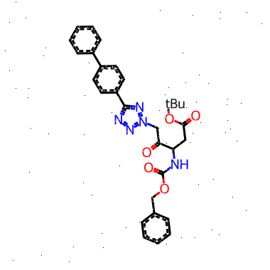 CC(C)(C)OC(=O)CC(NC(=O)OCc1ccccc1)C(=O)Cn1nnc(-c2ccc(-c3ccccc3)cc2)n1